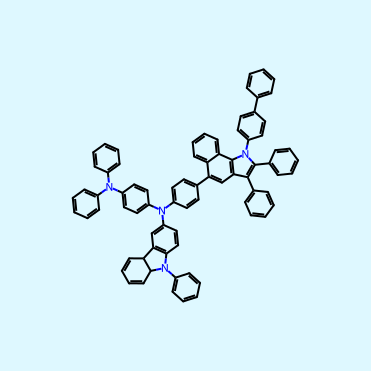 C1=CC2c3cc(N(c4ccc(-c5cc6c(-c7ccccc7)c(-c7ccccc7)n(-c7ccc(-c8ccccc8)cc7)c6c6ccccc56)cc4)c4ccc(N(c5ccccc5)c5ccccc5)cc4)ccc3N(c3ccccc3)C2C=C1